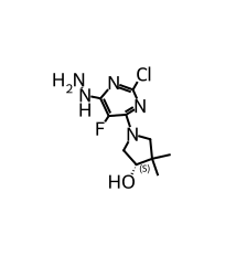 CC1(C)CN(c2nc(Cl)nc(NN)c2F)C[C@H]1O